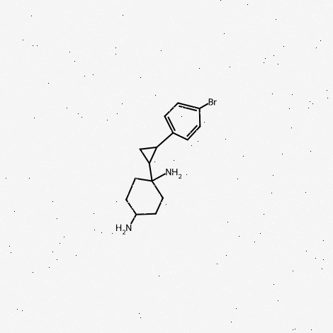 NC1CCC(N)(C2CC2c2ccc(Br)cc2)CC1